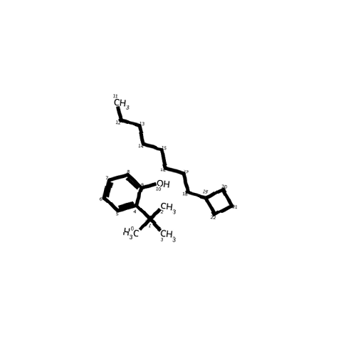 CC(C)(C)c1ccccc1O.CCCCCCCCC1CCC1